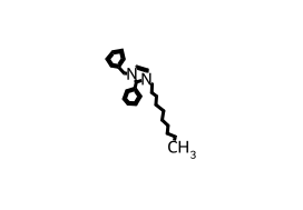 CCCCCCCCCCN1C=CN(Cc2ccccc2)C1c1ccccc1